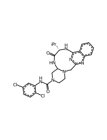 CC(C)[C@@H]1Nc2nc(nc3ccccc23)CN2CCN(C(=O)Nc3cc(Cl)ccc3Cl)CC2NC1=O